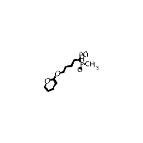 C[PH](=O)C(CCCCOC1CCCCO1)P=O